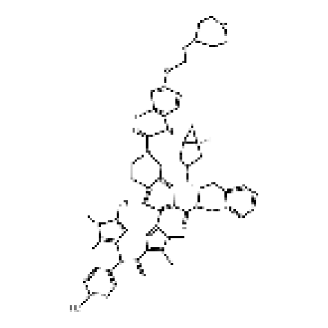 Cc1c(N(C(=O)c2cc(-c3cc4c(cc3C(=O)N3Cc5ccccc5C[C@H]3CN3C[C@H]5C[C@H]5C3)CN(C(=O)Cc3ccc(OCCN5CCOCC5)cc3F)CC4)n(C)c2C)c2ccc(O)cc2)cc(C#N)n1C